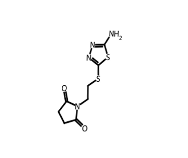 Nc1nnc(SCCN2C(=O)CCC2=O)s1